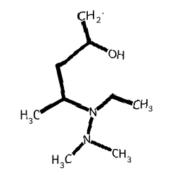 [CH2]C(O)CC(C)N(CC)N(C)C